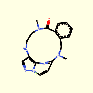 CN1CCNC2=C3N=C(C=C[N+]3(F)N=C2)N(C)Cc2ccccc2C1=O